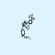 Cc1cc(CN2N=NN(c3cccc(C(F)(F)F)c3)C2C=O)ccc1N